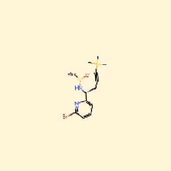 CC(C)(C)[S+]([O-])N[C@@H](CC#CS(C)(C)C)c1cccc(Br)n1